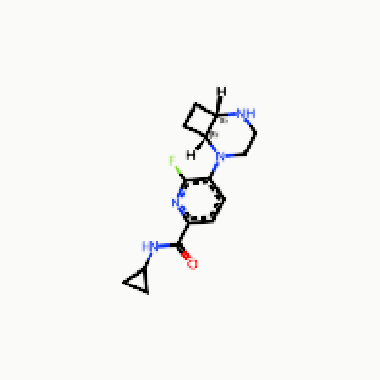 O=C(NC1CC1)c1ccc(N2CCN[C@H]3CC[C@H]32)c(F)n1